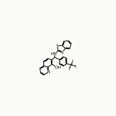 Oc1c(C(Nc2nc3ccccc3s2)c2ccc(C(I)(I)I)cc2)ccc2cccnc12